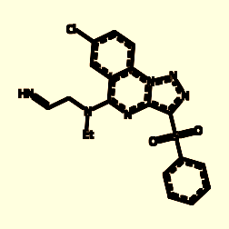 CCN(CC=N)c1nc2c(S(=O)(=O)c3ccccc3)nnn2c2ccc(Cl)cc12